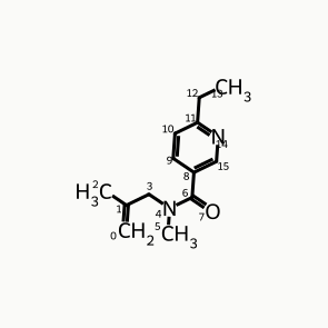 C=C(C)CN(C)C(=O)c1ccc(CC)nc1